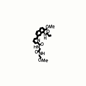 C=CC(=O)Nc1c(COC)ccc2ccc(-c3cccc(C(=O)NCC(=O)NCCOC)n3)cc12